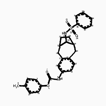 Cc1ccc(OC(=O)Nc2ccc3c(c2)CC2CCC(C3)C2NS(=O)(=O)c2ccccc2)cc1